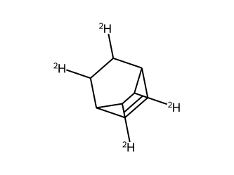 [2H]C1C([2H])C2C=CC1C([2H])C2[2H]